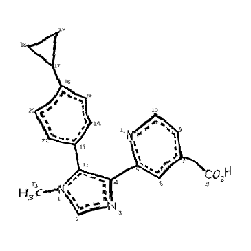 Cn1cnc(-c2cc(C(=O)O)ccn2)c1-c1ccc(C2CC2)cc1